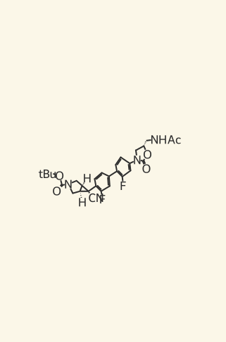 CC(=O)NC[C@H]1CN(c2ccc(-c3ccc([C@@]4(C#N)[C@@H]5CN(C(=O)OC(C)(C)C)C[C@@H]54)c(F)c3)c(F)c2)C(=O)O1